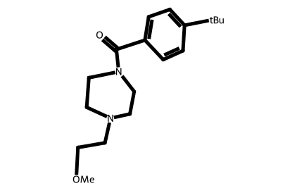 COCCN1CCN(C(=O)c2ccc(C(C)(C)C)cc2)CC1